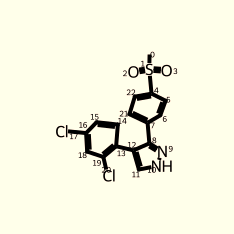 CS(=O)(=O)c1ccc(-c2n[nH]cc2-c2ccc(Cl)cc2Cl)cc1